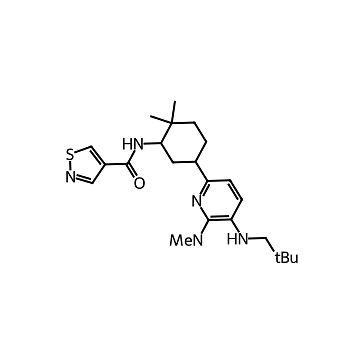 CNc1nc(C2CCC(C)(C)C(NC(=O)c3cnsc3)C2)ccc1NCC(C)(C)C